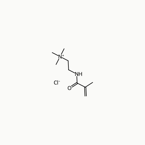 C=C(C)C(=O)NCC[N+](C)(C)C.[Cl-]